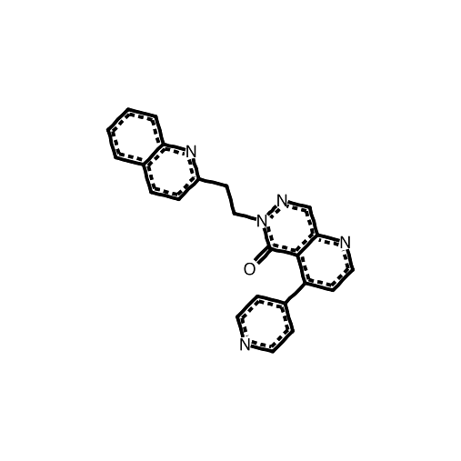 O=c1c2c(-c3ccncc3)ccnc2cnn1CCc1ccc2ccccc2n1